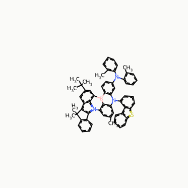 Cc1cc2c3c(c1)-n1c4c(c5cc(C(C)(C)C)cc(c51)B3c1ccc(N(c3ccccc3C)c3ccccc3C)cc1N2c1cccc2sc3ccccc3c12)C(C)(C)c1ccccc1-4